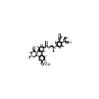 COc1ccc(-c2nc(NCCNc3ccc(N(O)O)c(N)n3)ccc2N2CCN(C)CC2=O)cc1